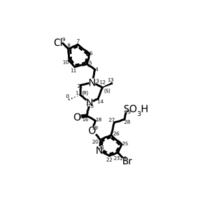 C[C@@H]1CN(Cc2ccc(Cl)cc2)[C@@H](C)CN1C(=O)COc1ncc(Br)cc1CCS(=O)(=O)O